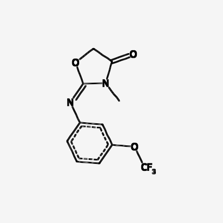 CN1C(=O)COC1=Nc1cccc(OC(F)(F)F)c1